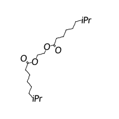 CC(C)CCCCCC(=O)OCCOC(=O)CCCCCC(C)C